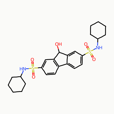 O=S(=O)(NC1CCCCC1)c1ccc2c(c1)C(O)c1cc(S(=O)(=O)NC3CCCCC3)ccc1-2